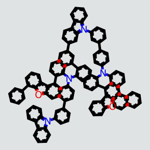 c1ccc(-c2cccc(N(c3ccc(-c4cccc(-n5c6ccccc6c6ccc(-c7cccc(-c8ccccc8N(c8ccc(-c9cccc(-n%10c%11ccccc%11c%11ccccc%11%10)c9)cc8)c8ccccc8-c8cccc9oc%10c(-c%11ccccc%11)cccc%10c89)c7)cc65)c4)cc3)c3ccccc3-c3ccc(-c4ccccc4)c4oc5ccccc5c34)c2)cc1